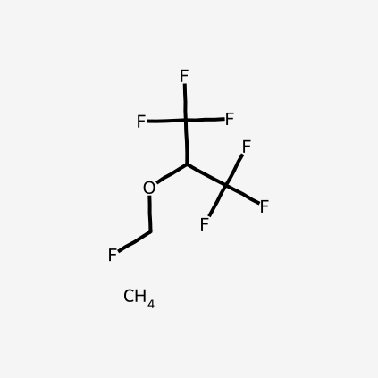 C.FCOC(C(F)(F)F)C(F)(F)F